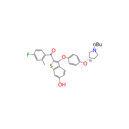 CCCCN1CC[C@H](Oc2ccc(Oc3c(C(=O)c4ccc(F)cc4C)sc4cc(O)ccc34)cc2)C1